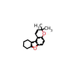 CC1(C)C=Cc2c(ccc3oc4c(c23)CCCC4)O1